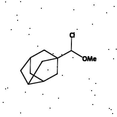 COC(Cl)C12CC3CC(C1)C(C3)C2